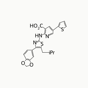 CC(C)Cc1sc(Nc2ncc(-c3cccs3)cc2C(=O)O)nc1-c1ccc2c(c1)OCO2